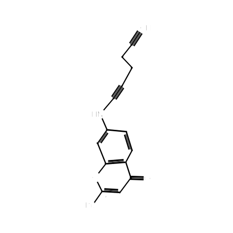 C#CCCC#CNc1ccc2c(=O)cc(C(C)(C)C)oc2c1